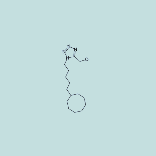 [O]Cc1nnnn1CCCCCC1CCCCCCC1